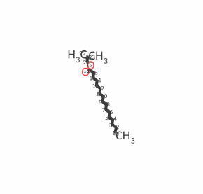 CCCCC=CC=CC=CCCCCCCCC(=O)OCC(C)C